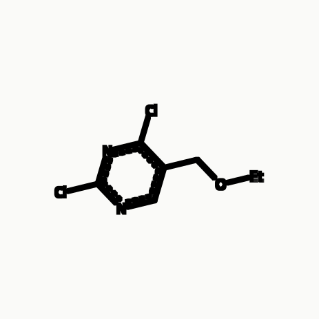 CCOCc1cnc(Cl)nc1Cl